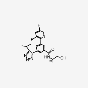 CC(C)c1nnnn1-c1cc(C(=O)N[C@@H](C)CO)cc(-c2ncc(F)cc2F)c1